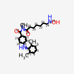 Cc1cccc(C)c1Nc1ccc(C(=O)N(C)C(=O)CCCCCCNO)cc1